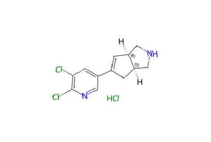 Cl.Clc1cc(C2=C[C@H]3CNC[C@H]3C2)cnc1Cl